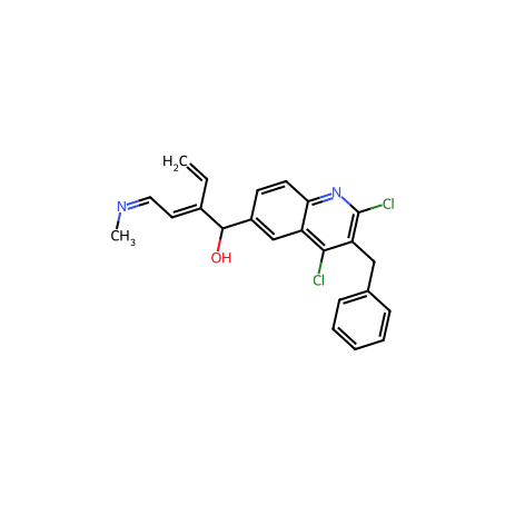 C=C/C(=C\C=N/C)C(O)c1ccc2nc(Cl)c(Cc3ccccc3)c(Cl)c2c1